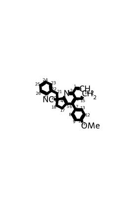 C=Cc1nc2c(c(-c3ccc(OC)cc3)c1C=C)CCC2(C#N)Cc1ccccc1